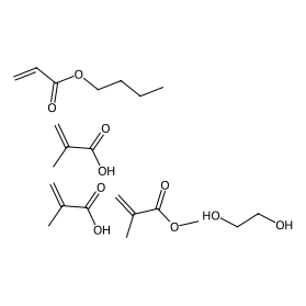 C=C(C)C(=O)O.C=C(C)C(=O)O.C=C(C)C(=O)OC.C=CC(=O)OCCCC.OCCO